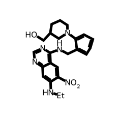 CCNc1cc2ncnc(NCc3ccccc3N3CCCC(CO)C3)c2cc1[N+](=O)[O-]